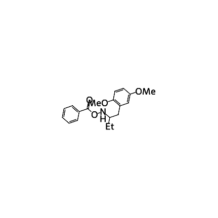 CCC(Cc1cc(OC)ccc1OC)NOC(=O)c1ccccc1